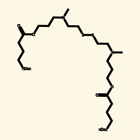 CCCCCCCCCCCCCC(=O)OCCCN(C)CCSSCCN(C)CCCOC(=O)CCCCCCCCCCCCC